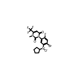 Cn1c(C(F)(F)F)cc(=O)n(-c2cc([S+]([O-])C3CCCC3)c(Br)cc2F)c1=O